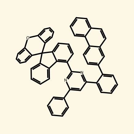 c1ccc(-c2cc(-c3ccccc3-c3ccc4c(ccc5ccccc54)c3)nc(-c3cccc4c3-c3ccccc3C43c4ccccc4Oc4ccccc43)n2)cc1